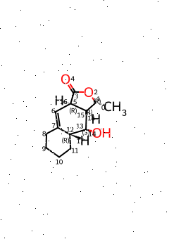 C[C@H]1OC(=O)[C@@H]2C=C3CCCC[C@H]3[C@H](O)[C@H]12